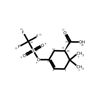 CC1(C)CC=C(OS(=O)(=O)C(F)(F)F)C[C@H]1C(=O)O